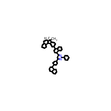 CC1(C)c2ccc(-c3ccc(-c4cc(-c5ccc(-c6cccc7ccccc67)cc5)nc(-c5ccccc5)n4)c4ccccc34)cc2-c2c1ccc1ccccc21